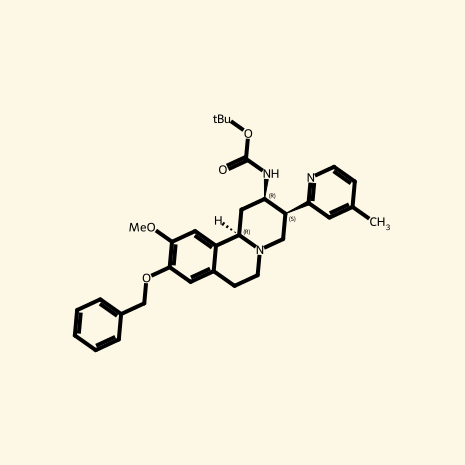 COc1cc2c(cc1OCc1ccccc1)CCN1C[C@H](c3cc(C)ccn3)[C@H](NC(=O)OC(C)(C)C)C[C@H]21